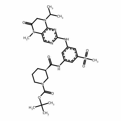 CC(C)N1CC(=O)N(C)c2cnc(Nc3cc(NC(=O)[C@@H]4CCCN(C(=O)OC(C)(C)C)C4)cc(S(C)(=O)=O)c3)nc21